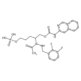 CC(=O)N(NCc1cccc(F)c1F)C(CCCOP(=O)(O)O)COC(=O)Nc1cc2ccccc2cn1